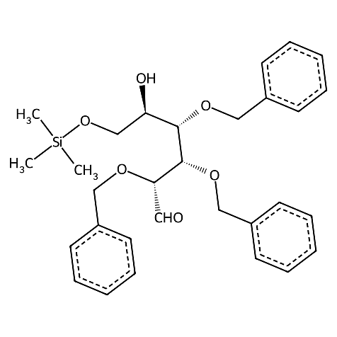 C[Si](C)(C)OC[C@@H](O)[C@H](OCc1ccccc1)[C@H](OCc1ccccc1)[C@H](C=O)OCc1ccccc1